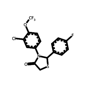 O=C1CSC(c2ccc(F)cc2)N1c1ccc(OC(F)(F)F)c(Cl)c1